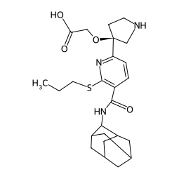 CCCSc1nc([C@]2(OCC(=O)O)CCNC2)ccc1C(=O)NC1C2CC3CC(C2)CC1C3